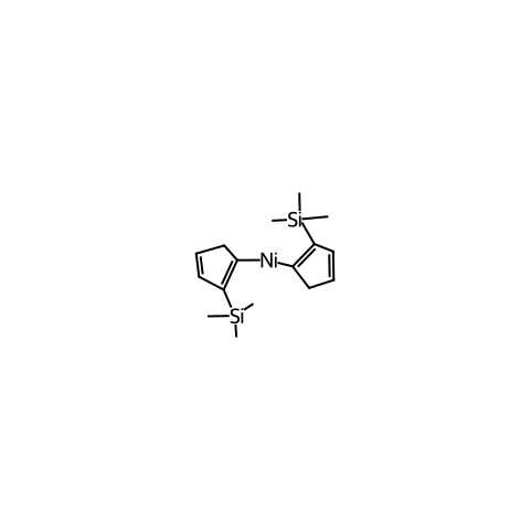 C[Si](C)(C)C1=[C]([Ni][C]2=C([Si](C)(C)C)C=CC2)CC=C1